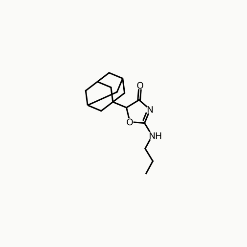 CCCNC1=NC(=O)C(C23CC4CC(CC(C4)C2)C3)O1